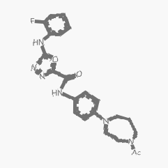 CC(=O)N1CCCN(c2ccc(NC(=O)c3nnc(Nc4ccccc4F)o3)cc2)CC1